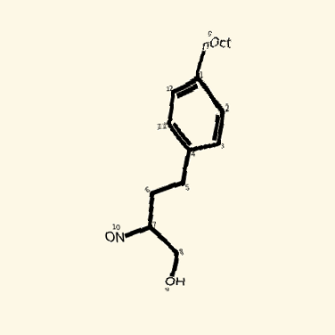 CCCCCCCCc1ccc(CCC(CO)N=O)cc1